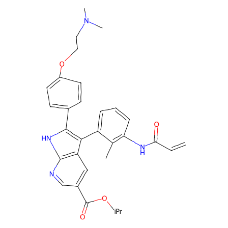 C=CC(=O)Nc1cccc(-c2c(-c3ccc(OCCN(C)C)cc3)[nH]c3ncc(C(=O)OC(C)C)cc23)c1C